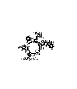 CCCC[C@H](NC(C)=O)C(=O)N[C@H]1CCC(=O)NCC[C@@H](C(=O)N[C@@H](Cc2c[nH]c3ccccc23)C(N)=O)NC(=O)[C@H](CCCNC(=N)N)NC(=O)[C@@H](Cc2ccccc2)NC(=O)[C@H](Cc2c[nH]cn2)NC1=O